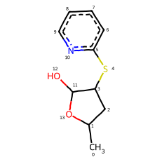 CC1CC(Sc2ccccn2)C(O)O1